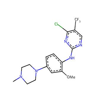 COc1cc(N2CCN(C)CC2)ccc1Nc1ncc(C(F)(F)F)c(Cl)n1